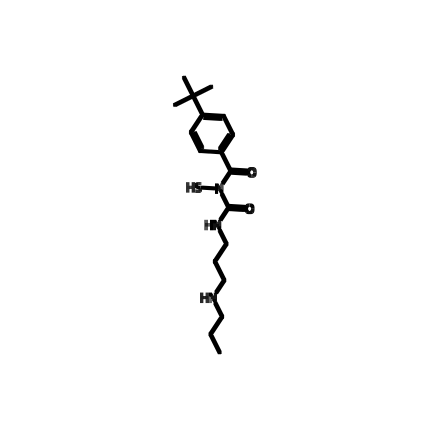 CCCNCCCNC(=O)N(S)C(=O)c1ccc(C(C)(C)C)cc1